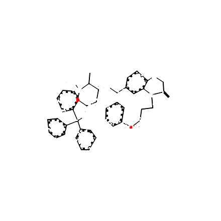 COCCCN1C(=O)COc2ccc(CO[C@H]3C(C)N(C(=O)O)C[C@@H](OC(c4ccccc4)(c4ccccc4)c4ccccc4)[C@H]3c3ccc(OC)cc3)cc21